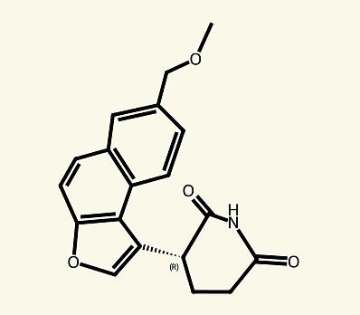 COCc1ccc2c(ccc3occ([C@H]4CCC(=O)NC4=O)c32)c1